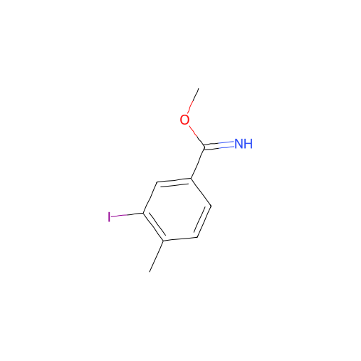 COC(=N)c1ccc(C)c(I)c1